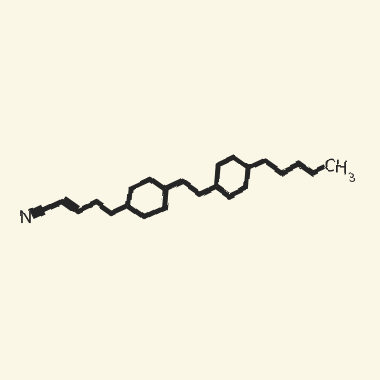 CCCCCC1CCC(CCC2CCC(CCC=CC#N)CC2)CC1